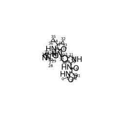 CC(=O)N[C@@H](C(=O)NC1CNCc2cc(NC(=O)[C@@H](NC(=O)c3ccnn3C(C)C)C(C3CC3)C3CC3)ccc21)C1CC1